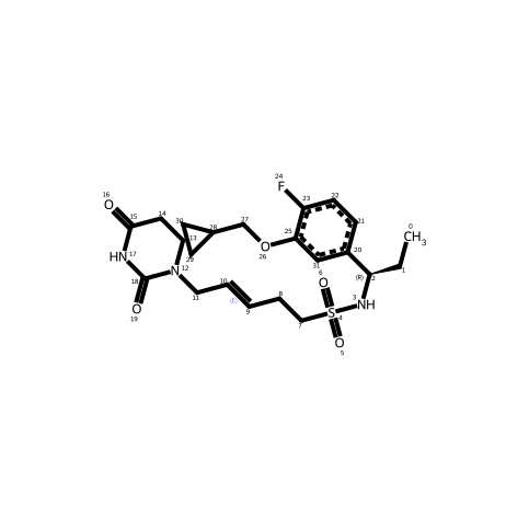 CC[C@@H](NS(=O)(=O)CC/C=C/CN1CCC(=O)NC1=O)c1ccc(F)c(OCC2CC2)c1